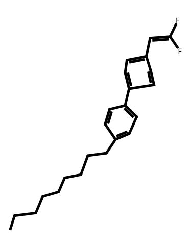 CCCCCCCCCc1ccc(-c2ccc(C=C(F)F)cc2)cc1